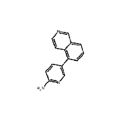 Nc1ccc(-c2cccc3cnccc23)cn1